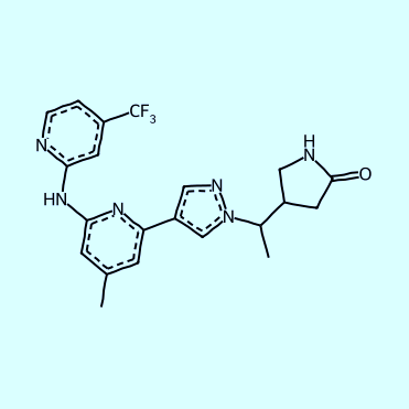 Cc1cc(Nc2cc(C(F)(F)F)ccn2)nc(-c2cnn(C(C)C3CNC(=O)C3)c2)c1